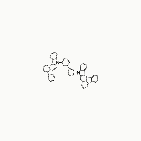 c1cc(-c2cccc(-n3c4ccccc4c4c5cccc6c5c(cc43)-c3ccccc3-6)c2)cc(-n2c3ccccc3c3c4c5c(cccc5cc32)-c2ccccc2-4)c1